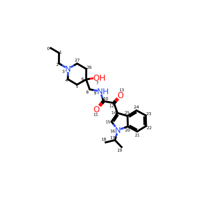 CCCN1CCC(O)(CNC(=O)C(=O)c2cn(C(C)C)c3ccccc23)CC1